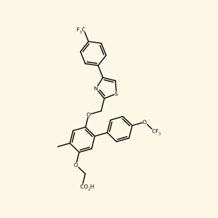 Cc1cc(OCc2nc(-c3ccc(C(F)(F)F)cc3)cs2)c(-c2ccc(OC(F)(F)F)cc2)cc1OCC(=O)O